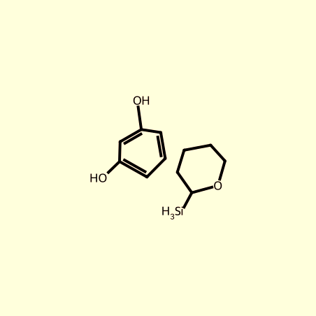 Oc1cccc(O)c1.[SiH3]C1CCCCO1